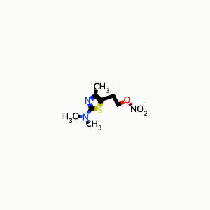 Cc1nc(N(C)C)sc1CCO[N+](=O)[O-]